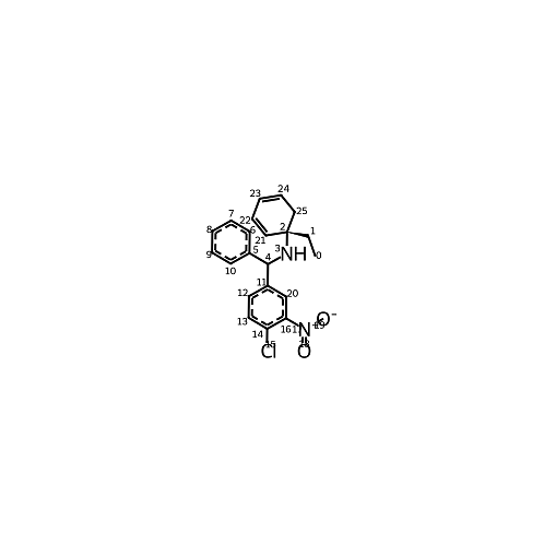 CC[C@@]1(NC(c2ccccc2)c2ccc(Cl)c([N+](=O)[O-])c2)C=CC=CC1